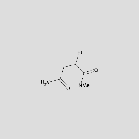 CCC(CC(N)=O)C(=O)NC